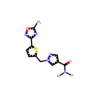 CCN(CC)C(=O)c1cnn(Cc2ccc(-c3noc(C(F)(F)F)n3)s2)c1